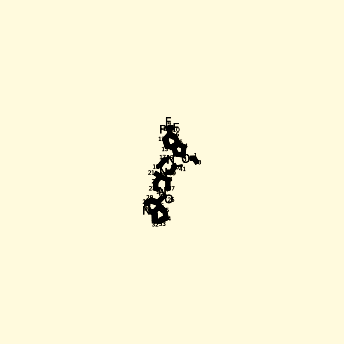 CCO[C@H]1Cc2cc(C(F)(F)F)ccc2[C@H]1N1CCN(C2(C)CCN(C(=O)c3ccnc4ccccc34)CC2)C[C@@H]1C